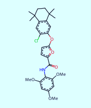 COc1cc(OC)c(NC(=O)c2ccc(Oc3cc4c(cc3Cl)C(C)(C)CCC4(C)C)o2)c(OC)c1